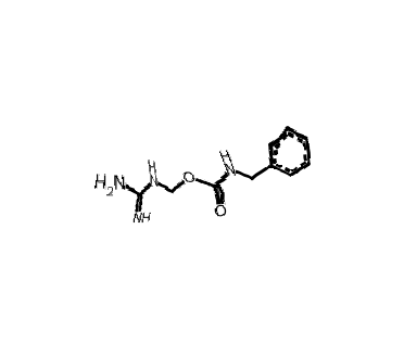 N=C(N)NCOC(=O)NCc1ccccc1